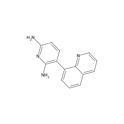 Nc1ccc(-c2cccc3cccnc23)c(N)n1